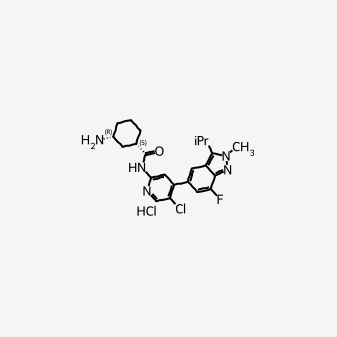 CC(C)c1c2cc(-c3cc(NC(=O)[C@H]4CCC[C@@H](N)C4)ncc3Cl)cc(F)c2nn1C.Cl